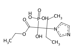 CCOC(=O)C(O)(C(CC)(CC)n1ccnc1)P(=O)(O)O